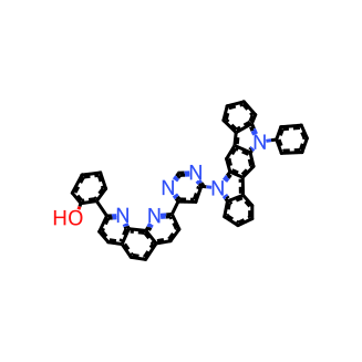 Oc1ccccc1-c1ccc2ccc3ccc(-c4cc(-n5c6ccccc6c6cc7c(cc65)c5ccccc5n7-c5ccccc5)ncn4)nc3c2n1